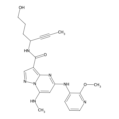 CC#CC(CCCO)NC(=O)c1cnn2c(NC)cc(Nc3cccnc3OC)nc12